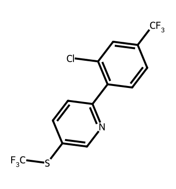 FC(F)(F)Sc1ccc(-c2ccc(C(F)(F)F)cc2Cl)nc1